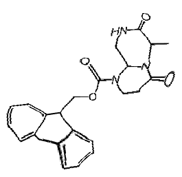 CC1C(=O)NCC2N(C(=O)OCC3c4ccccc4-c4ccccc43)CCC(=O)N12